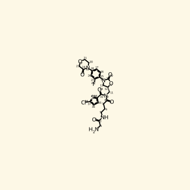 NCC(=O)NCCCC(=O)N(C[C@H]1CN(c2ccc(N3CCOCC3=O)cc2F)C(=O)O1)C(=O)c1ccc(Cl)s1